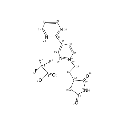 O=C([O-])C(F)(F)F.O=C1NC(=O)C(CC[n+]2ccc(-c3ncccn3)cn2)S1